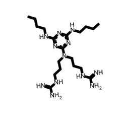 CCCCNc1nc(NCCCC)nc(N(CCCNC(=N)N)CCCNC(=N)N)n1